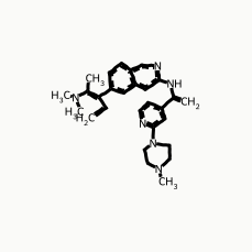 C=C/C(=C(/C)N(C)C)c1ccc2cnc(NC(=C)c3ccnc(N4CCN(C)CC4)c3)cc2c1